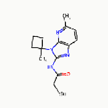 Cc1ccc2nc(NC(=O)CC(C)(C)C)n(C3(C)CCC3)c2n1